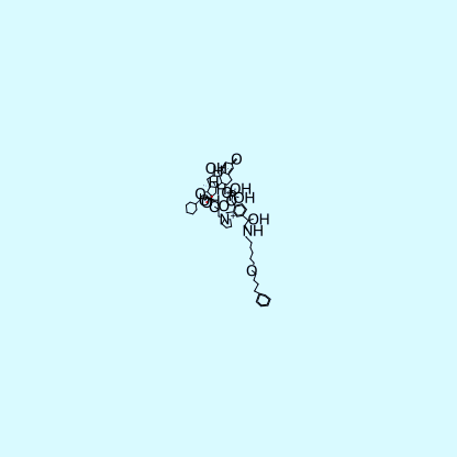 C[C@]12C=CC(=O)C=C1CC[C@@H]1[C@@H]2[C@@H](O)C[C@@]2(C)[C@H]1C[C@H]1O[C@@H](C3CCCCC3)O[C@]12C(=O)COC(=O)C[N+]1(Cc2cc(C(O)CNCCCCCCOCCCCc3ccccc3)ccc2OP(=O)(O)O)CCCC1